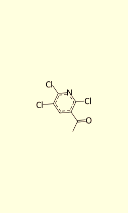 CC(=O)c1cc(Cl)c(Cl)nc1Cl